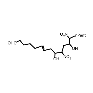 CCCCCC(C(O)CC(C(O)C/C=C/CCCC[C]=O)[N+](=O)[O-])[N+](=O)[O-]